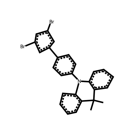 CC1(C)c2ccccc2N(c2ccc(-c3cc(Br)cc(Br)c3)cc2)c2ccccc21